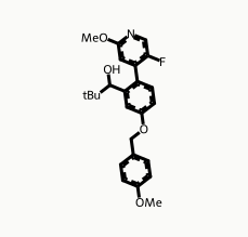 COc1ccc(COc2ccc(-c3cc(OC)ncc3F)c(C(O)C(C)(C)C)c2)cc1